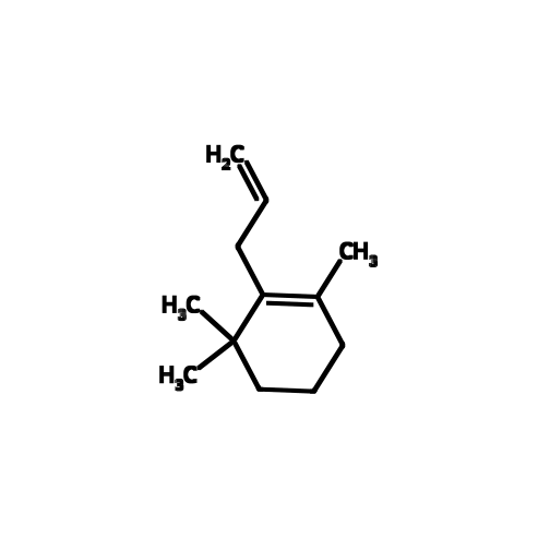 C=CCC1=C(C)CCCC1(C)C